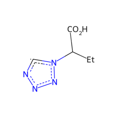 CCC(C(=O)O)n1[c]nnn1